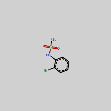 CC(C)(C)S(=O)(=O)Nc1ccccc1Br